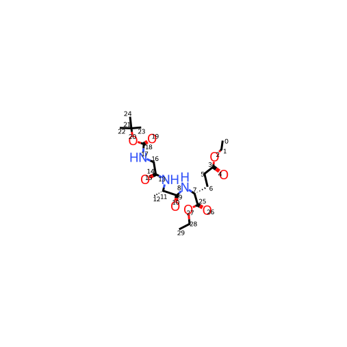 CCOC(=O)CC[C@@H](NC(=O)[C@H](C)NC(=O)CNC(=O)OC(C)(C)C)C(=O)OCC